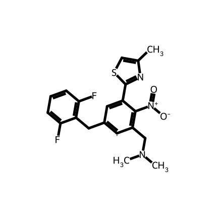 Cc1csc(-c2cc(Cc3c(F)cccc3F)[c]c(CN(C)C)c2[N+](=O)[O-])n1